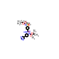 CC(C)(C)OC(=O)N=S(C)(=O)c1ccc(C(=O)Nc2cc(-c3cncnc3)ccc2NC(=O)OC(C)(C)C)cc1